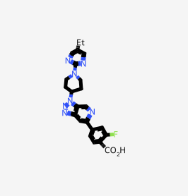 CCc1cnc(N2CCC(n3nnc4cc(-c5ccc(C(=O)O)c(F)c5)ncc43)CC2)nc1